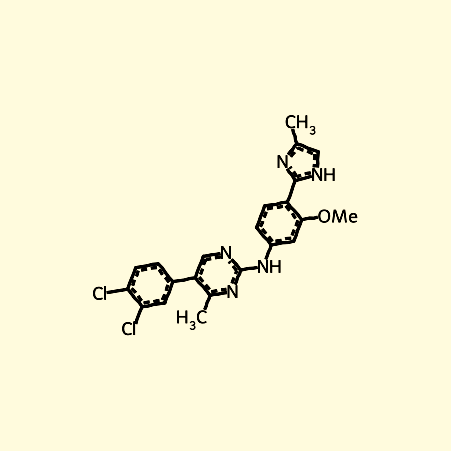 COc1cc(Nc2ncc(-c3ccc(Cl)c(Cl)c3)c(C)n2)ccc1-c1nc(C)c[nH]1